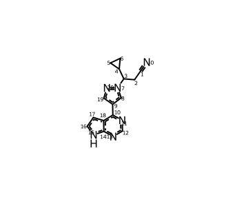 N#CCC(C1CC1)n1cc(-c2ncnc3[nH]ccc23)cn1